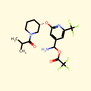 CC(C)C(=O)N1CCC[C@H](Oc2cc(C(N)OC(=O)C(F)(F)F)cc(C(F)(F)F)n2)C1